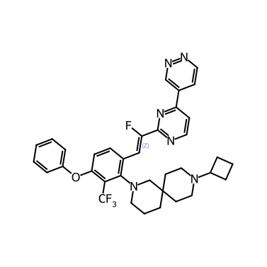 F/C(=C\c1ccc(Oc2ccccc2)c(C(F)(F)F)c1N1CCCC2(CCN(C3CCC3)CC2)C1)c1nccc(-c2ccnnc2)n1